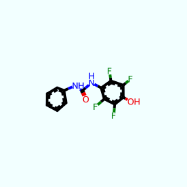 O=C(Nc1ccccc1)Nc1c(F)c(F)c(O)c(F)c1F